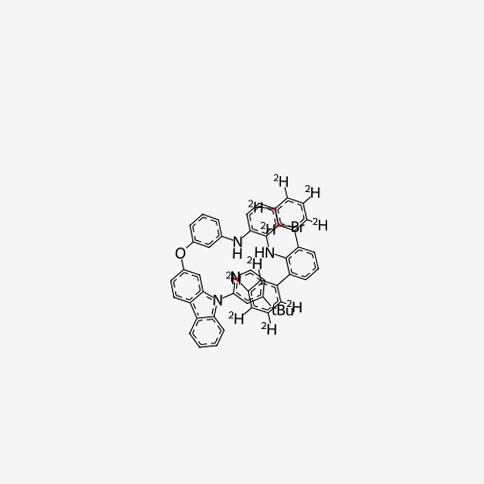 [2H]c1c([2H])c([2H])c(-c2cccc(-c3c([2H])c([2H])c([2H])c([2H])c3[2H])c2Nc2c(Br)cccc2Nc2cccc(Oc3ccc4c5ccccc5n(-c5cc(C(C)(C)C)ccn5)c4c3)c2)c([2H])c1[2H]